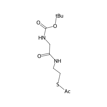 CC(=O)SCCNC(=O)CNC(=O)OC(C)(C)C